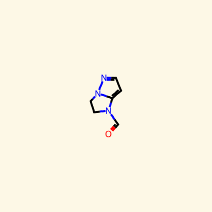 O=CN1CCn2nccc21